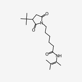 CC(C)=C(C)NC(=O)CCCCCN1C(=O)CC(C(C)(C)C)C1=O